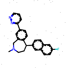 CN1CCC(c2ccc3cc(F)ccc3c2)c2ccc(-c3cccnn3)cc2C1